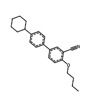 CCCCOc1ccc(-c2ccc(C3CC[CH]CC3)cc2)cc1C#N